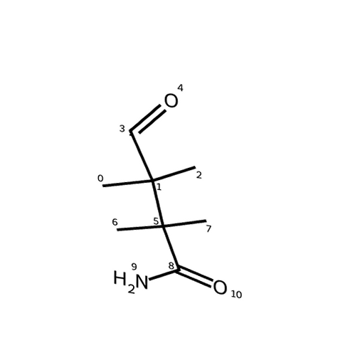 CC(C)([C]=O)C(C)(C)C(N)=O